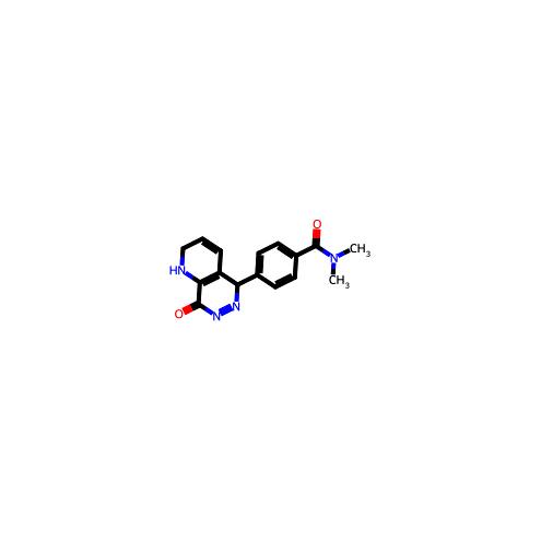 CN(C)C(=O)c1ccc(C2N=NC(=O)C3=C2C=CCN3)cc1